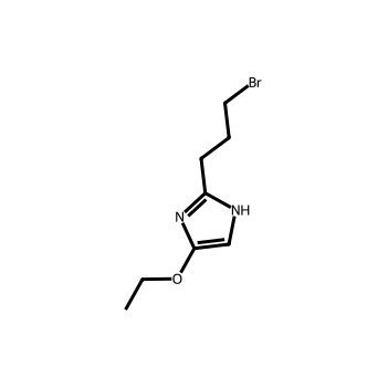 CCOc1c[nH]c(CCCBr)n1